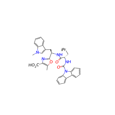 Cc1oc([C@@H](Cc2cn(C)c3ccccc23)NC(=O)[C@H](CC(C)C)NC(=O)n2c3ccccc3c3ccccc32)nc1C(=O)O